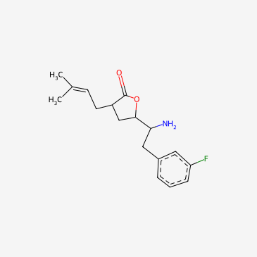 CC(C)=CCC1CC(C(N)Cc2cccc(F)c2)OC1=O